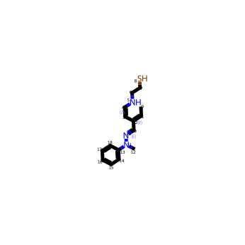 C/C=C(\C=C/NCCS)/C=N/N(C)c1ccccc1